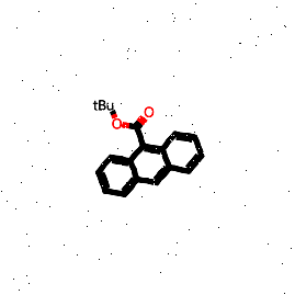 CC(C)(C)OC(=O)c1c2ccccc2cc2ccccc12